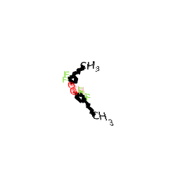 CCCCCc1ccc(OBOc2ccc(CCCCC)c(F)c2F)c(F)c1F